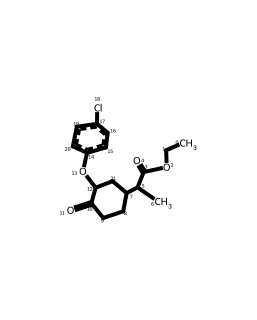 CCOC(=O)C(C)C1CCC(=O)C(Oc2ccc(Cl)cc2)C1